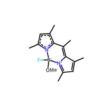 CO[B-]1(F)n2c(C)cc(C)c2C(C)=C2C(C)=CC(C)=[N+]21